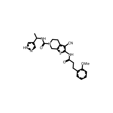 COc1ccccc1CCC(=O)Nc1sc2c(c1C#N)CCN(C(=O)NC(C)c1cn[nH]c1)C2